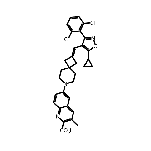 Cc1cc2cc(N3CCC4(CC3)CC(=Cc3c(-c5c(Cl)cccc5Cl)noc3C3CC3)C4)ccc2nc1C(=O)O